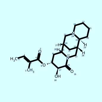 C/C=C(\C)C(=O)O[C@@H]1C[C@@H]2[C@H]3C[C@@H](CN2C(=O)[C@H]1O)[C@@H]1CCCCN1C3